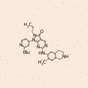 C=CCn1c(=O)c2cnc(Nc3cc4c(cc3C)CNCC4)nc2n1-c1ccnc(C(C)(C)C)c1